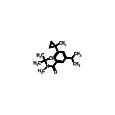 CC(C)c1cc(C(=O)N(C)C(C)(C)C)cc(C2(C)CC2)c1